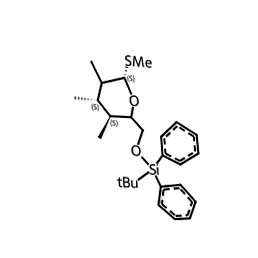 CS[C@@H]1OC(CO[Si](c2ccccc2)(c2ccccc2)C(C)(C)C)[C@@H](C)[C@H](C)C1C